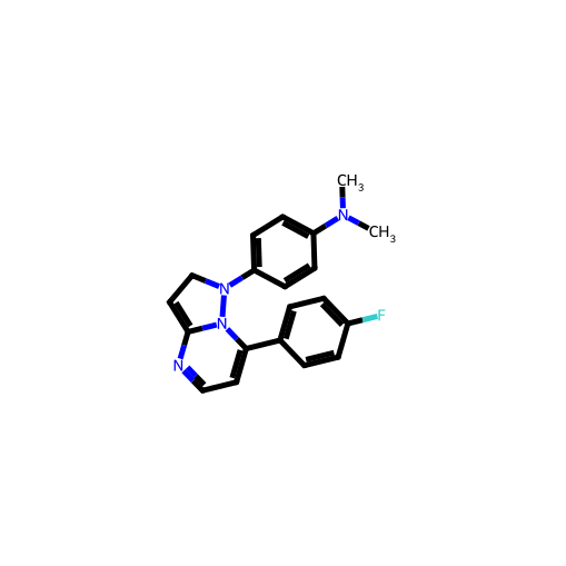 CN(C)c1ccc(N2CC=C3N=CC=C(c4ccc(F)cc4)N32)cc1